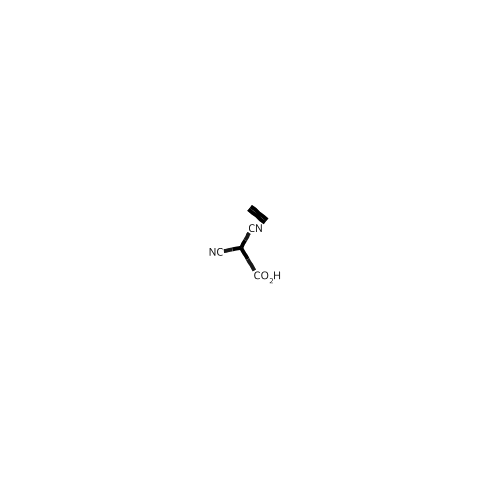 C=C.N#CC(C#N)C(=O)O